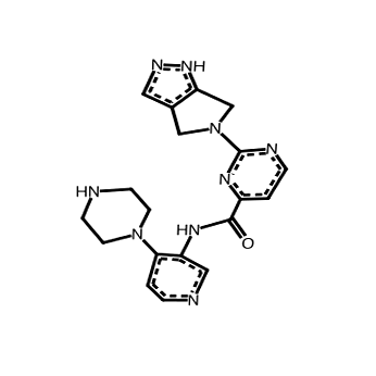 O=C(Nc1cnccc1N1CCNCC1)c1ccnc(N2Cc3cn[nH]c3C2)n1